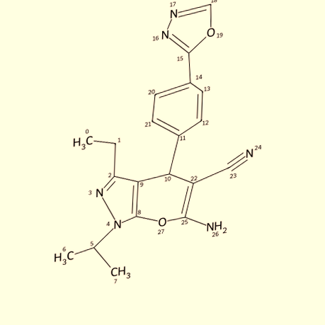 CCc1nn(C(C)C)c2c1C(c1ccc(-c3nnco3)cc1)C(C#N)=C(N)O2